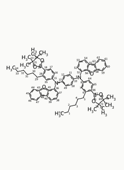 CCCCCCc1cc(N(c2ccc(N(c3ccc(B4OC(C)(C)C(C)(C)O4)c(CCCCCC)c3)c3cccc4c3oc3ccccc34)cc2)c2cccc3c2oc2ccccc23)ccc1B1OC(C)(C)C(C)(C)O1